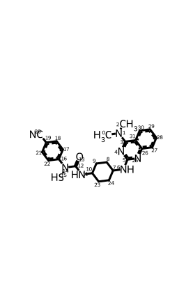 CN(C)c1nc(NC2CCC(NC(=O)N(S)c3ccc(C#N)cc3)CC2)nc2ccccc12